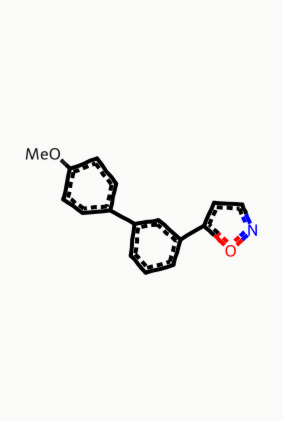 COc1ccc(-c2cccc(-c3ccno3)c2)cc1